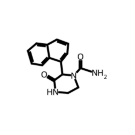 NC(=O)N1CCNC(=O)C1c1cccc2ccccc12